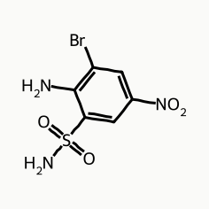 Nc1c(Br)cc([N+](=O)[O-])cc1S(N)(=O)=O